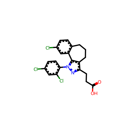 O=C(O)CCc1nn(-c2ccc(Cl)cc2Cl)c2c1CCCc1ccc(Cl)cc1-2